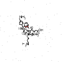 CC(=O)N(C(=O)[C@@H](N)CC(=O)O)[C@@](Cc1ccccc1)(C(=O)NCCCCN)N1C(=O)NC(c2ccc(CN)cc2)C1=O